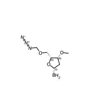 B[C@H]1C[C@@H](OC)[C@@H](COCN=[N+]=[N-])O1